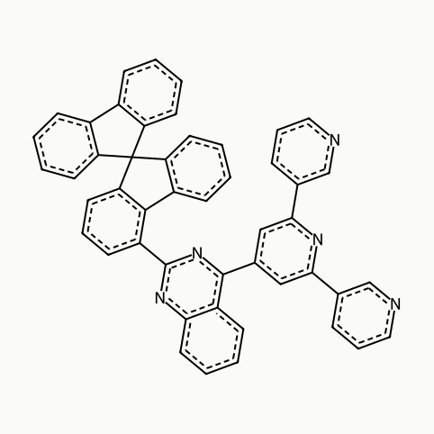 c1cncc(-c2cc(-c3nc(-c4cccc5c4-c4ccccc4C54c5ccccc5-c5ccccc54)nc4ccccc34)cc(-c3cccnc3)n2)c1